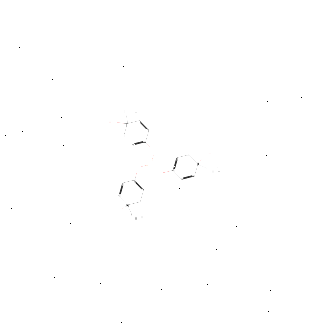 CCCCC1(O)C=CC(OP(OC2=CCC(O)(CCCC)C=C2)OC2=CCC(O)(CCCC)C=C2)=CC1